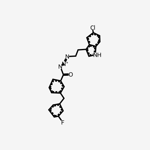 O=C(N=[N+]=NCCc1c[nH]c2ccc(Cl)cc12)c1cccc(Cc2cccc(F)c2)c1